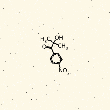 CC(C)(O)C(=O)c1ccc([N+](=O)[O-])cc1